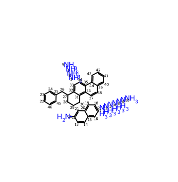 N.N.N.N.N.N.N.N.N.N.N.Nc1ccc2ccccc2c1.c1ccc(CC2CCCc3c2ccc2c3ccc3ccccc32)cc1